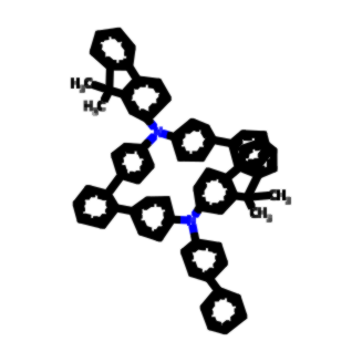 CC1(C)c2ccccc2-c2ccc(N(c3ccc(-c4ccccc4)cc3)c3ccc(-c4ccccc4-c4ccc(N(c5ccc(-c6ccccc6)cc5)c5ccc6c(c5)C(C)(C)c5ccccc5-6)cc4)cc3)cc21